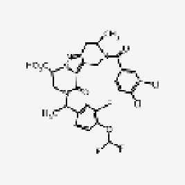 CC(c1ccc(OC(F)F)c(F)c1)N1C[C@@H](C(=O)O)n2nc3c(c2C1=O)CN(C(=O)c1ccc(Cl)c(Cl)c1)[C@H](C)C3